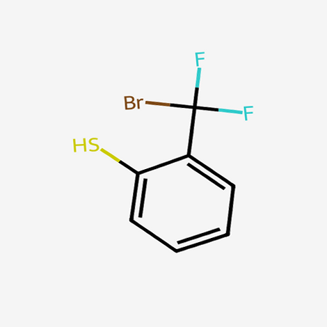 FC(F)(Br)c1ccccc1S